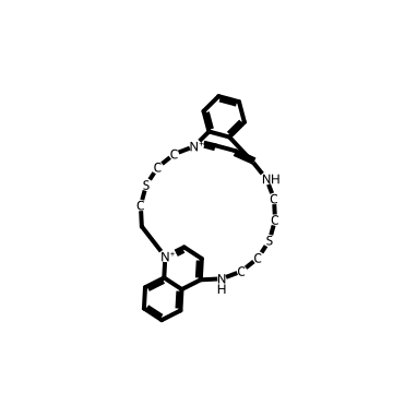 c1ccc2c(c1)c1cc[n+]2CCSCC[n+]2ccc(c3ccccc32)NCCSCCN1